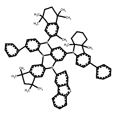 Cc1cc2c(cc1N1c3ccc(-c4ccccc4)cc3B3c4cc5c(cc4N(c4ccc6sc7ccccc7c6c4)c4cc(N6c7ccc(-c8ccccc8)cc7C7(C)CCCCC67C)cc1c43)C(C)(C)CC5(C)C)C(C)(C)CCC2(C)C